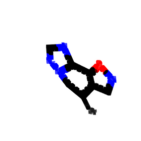 CC(C)c1cn2ncnc2c2oncc12